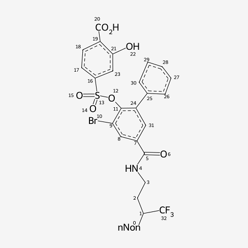 CCCCCCCCCC(CCNC(=O)c1cc(Br)c(OS(=O)(=O)c2ccc(C(=O)O)c(O)c2)c(-c2ccccc2)c1)C(F)(F)F